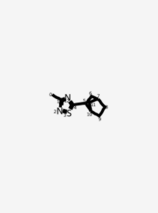 Cc1nsc(C2CC3CCC2C3)n1